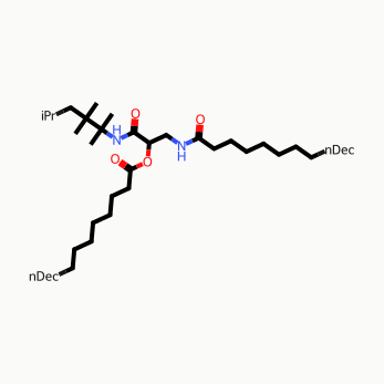 CCCCCCCCCCCCCCCCCC(=O)NCC(OC(=O)CCCCCCCCCCCCCCCCC)C(=O)NC(C)(C)C(C)(C)CC(C)C